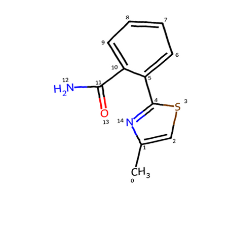 Cc1csc(-c2ccccc2C(N)=O)n1